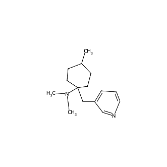 CC1CCC(Cc2cccnc2)(N(C)C)CC1